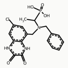 CC(N(Cc1ccccc1)Cc1cc(Cl)cc2[nH]c(=O)c(=O)[nH]c12)P(=O)(O)O